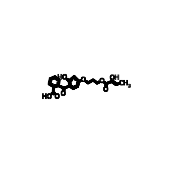 CC=C(O)C(=O)OCCCOc1ccc(C(=O)c2ccccc2C(=O)O)c(O)c1